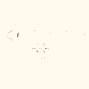 CCCCCCCCCCCCc1ccccc1.O=S(=O)([O-])S(=O)(=O)O.[Na+]